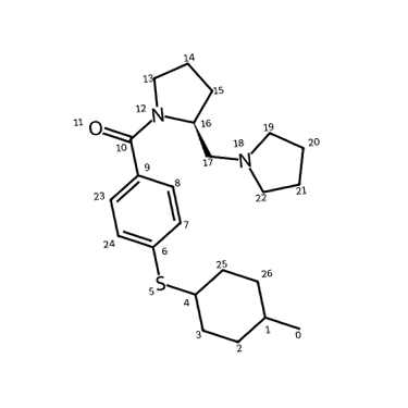 CC1CCC(Sc2ccc(C(=O)N3CCC[C@H]3CN3CCCC3)cc2)CC1